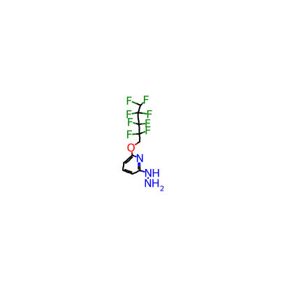 NNc1cccc(OCC(F)(F)C(F)(F)C(F)(F)C(F)F)n1